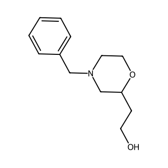 OCCC1CN(Cc2ccccc2)CCO1